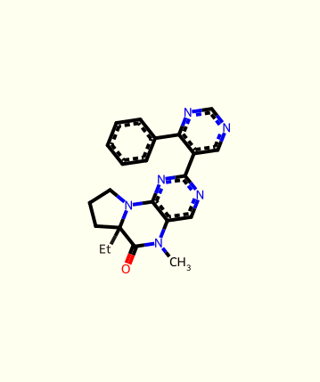 CCC12CCCN1c1nc(-c3cncnc3-c3ccccc3)ncc1N(C)C2=O